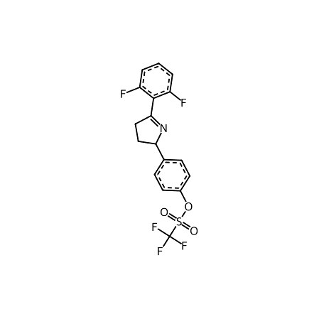 O=S(=O)(Oc1ccc(C2CCC(c3c(F)cccc3F)=N2)cc1)C(F)(F)F